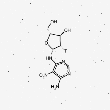 Nc1ncnc(N[C@@H]2O[C@H](CO)[C@@H](O)[C@@H]2F)c1[N+](=O)[O-]